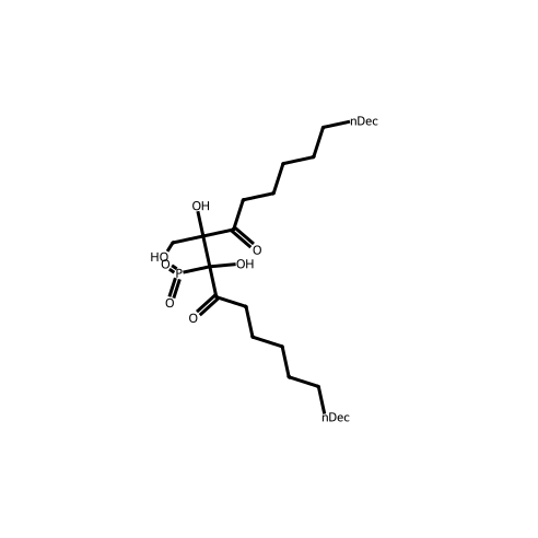 CCCCCCCCCCCCCCCC(=O)C(O)(CO)C(O)(C(=O)CCCCCCCCCCCCCCC)P(=O)=O